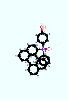 O=P(c1ccccc1)(c1ccc(O)cc1)c1ccc2cccc3c4cccc5cccc(c1c23)c54